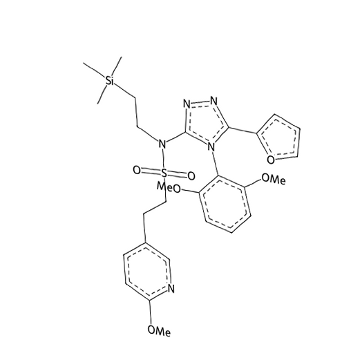 COc1ccc(CCS(=O)(=O)N(CC[Si](C)(C)C)c2nnc(-c3ccco3)n2-c2c(OC)cccc2OC)cn1